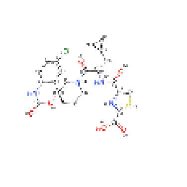 O=C1Nc2ccc(Cl)cc2[C@@]2(CCCN(C(=O)[C@H](CC3CC3)NC(=O)c3csc(C(=O)O)n3)C2)O1